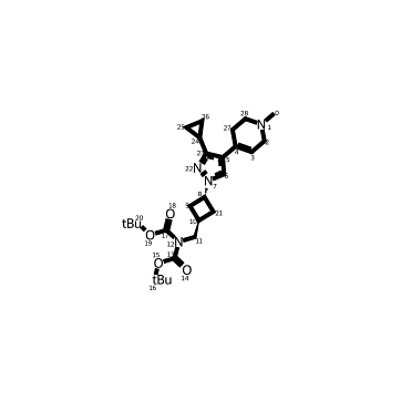 CN1CC=C(c2cn([C@H]3C[C@H](CN(C(=O)OC(C)(C)C)C(=O)OC(C)(C)C)C3)nc2C2CC2)CC1